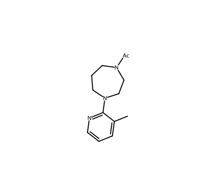 CC(=O)N1CCCN(c2ncccc2C)CC1